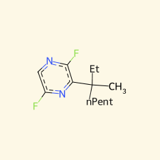 CCCCCC(C)(CC)c1nc(F)cnc1F